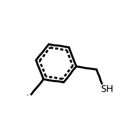 [CH2]c1cccc(CS)c1